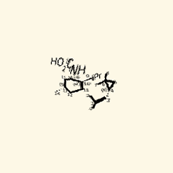 CC(C)=C[C@H]1CC1(C)C.CC(C)[C@H]1CC[C@H](C)C[C@@H]1NC(=O)O